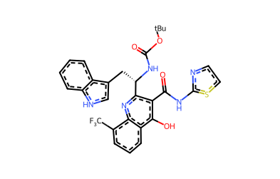 CC(C)(C)OC(=O)N[C@@H](Cc1c[nH]c2ccccc12)c1nc2c(C(F)(F)F)cccc2c(O)c1C(=O)Nc1nccs1